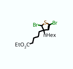 CCCCCCC1(CCCCC(=O)OCC)C=C(Br)SC1Br